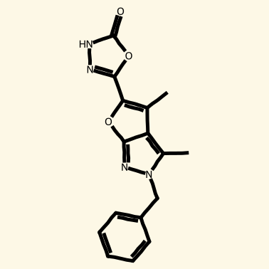 Cc1c(-c2n[nH]c(=O)o2)oc2nn(Cc3ccccc3)c(C)c12